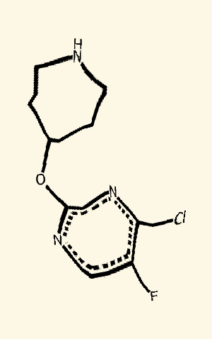 Fc1cnc(OC2CCNCC2)nc1Cl